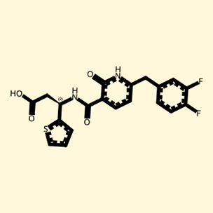 O=C(O)C[C@@H](NC(=O)c1ccc(Cc2ccc(F)c(F)c2)[nH]c1=O)c1cccs1